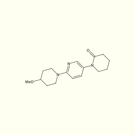 COC1CCN(c2ccc(N3CCCCC3=O)cn2)CC1